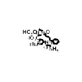 CC(C)(C)N1C[C@H](NC(=O)CN)C[C@H]1C(=O)O.O=C(O)N1CCN(C(=O)CCCc2ccccc2)CC1